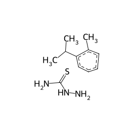 Cc1ccccc1C(C)C.NNC(N)=S